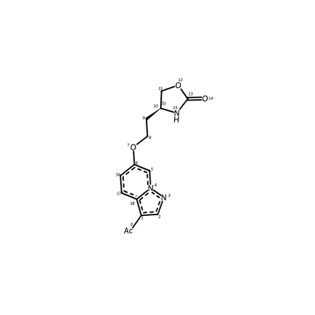 CC(=O)c1cnn2cc(OCC[C@H]3COC(=O)N3)ccc12